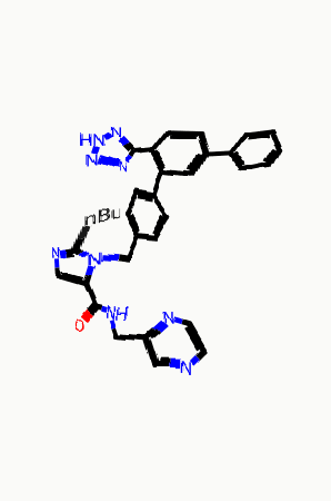 CCCCc1ncc(C(=O)NCc2cnccn2)n1Cc1ccc(-c2cc(-c3ccccc3)ccc2-c2nn[nH]n2)cc1